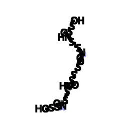 O=C(NCSCCSC/N=C\OOCSCCSCSC(=O)NCSCCSC/N=C\[S+]([O-])CSCO)SCSCO